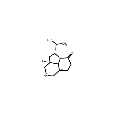 CC(C)[C@H]1C[C@@H]2CNC[C@H]3CCC(=O)N1C32